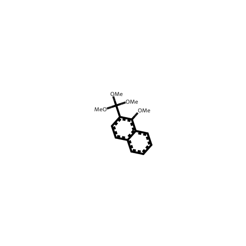 COc1c(C(OC)(OC)OC)ccc2ccccc12